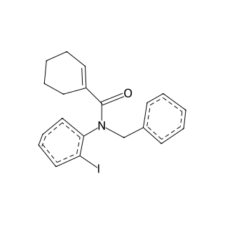 O=C(C1=CCCCC1)N(Cc1ccccc1)c1ccccc1I